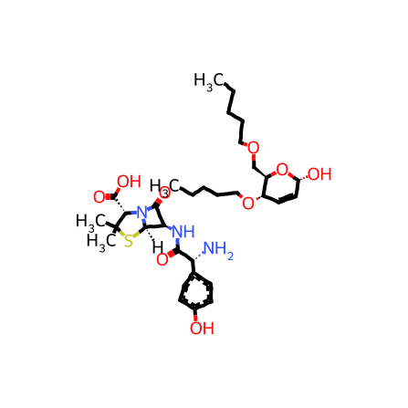 CC1(C)S[C@@H]2[C@H](NC(=O)[C@H](N)c3ccc(O)cc3)C(=O)N2[C@H]1C(=O)O.CCCCCOC[C@H]1O[C@H](O)C=C[C@@H]1OCCCCC